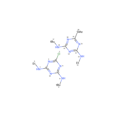 CCNc1nc(Cl)nc(NC(C)(C)C)n1.CCNc1nc(NC(C)(C)C)nc(SC)n1